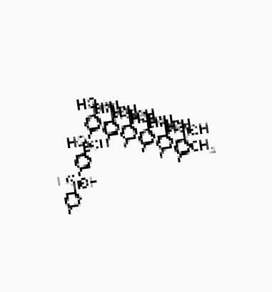 C.Cc1ccc(B(O)O)cc1.Cc1ccc(B(O)O)cc1.Cc1ccc(B(O)O)cc1.Cc1ccc(B(O)O)cc1.Cc1ccc(B(O)O)cc1.Cc1ccc(B(O)O)cc1.Cc1ccc(B(O)O)cc1.Cc1ccc(B(O)O)cc1